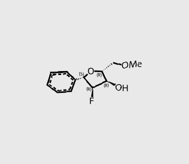 COC[C@H]1O[C@@H](c2ccccc2)[C@H](F)[C@@H]1O